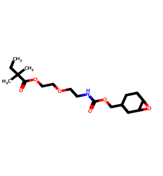 CCC(C)(C)C(=O)OCCOCCNC(=O)OCC1CCC2OC2C1